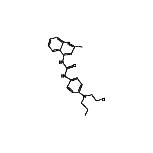 CCCN(CCCl)c1ccc(NC(=O)Nc2cc(C)nc3ccccc23)cc1